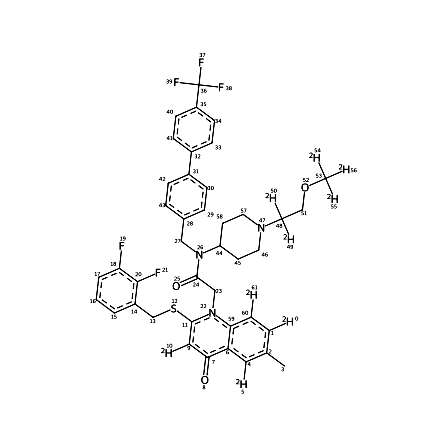 [2H]c1c(C)c([2H])c2c(=O)c([2H])c(SCc3cccc(F)c3F)n(CC(=O)N(Cc3ccc(-c4ccc(C(F)(F)F)cc4)cc3)C3CCN(C([2H])([2H])COC([2H])([2H])[2H])CC3)c2c1[2H]